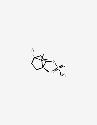 CC1(C)[C@H]2CC[C@@]1(C)[C@H](OS(N)(=O)=O)C2